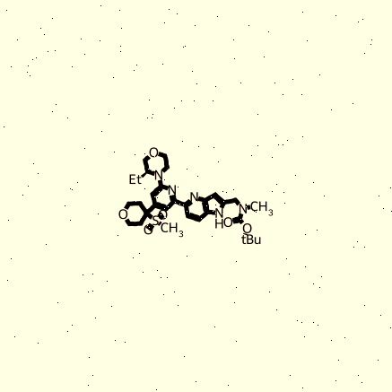 CC[C@H]1COCCN1c1cc(C2(S(C)(=O)=O)CCOCC2)cc(-c2ccc3[nH]c(CN(C)C(=O)OC(C)(C)C)cc3n2)n1